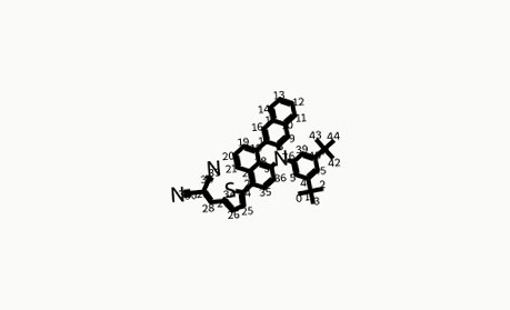 CC(C)(C)c1cc(N2c3cc4ccccc4cc3-c3cccc4c(-c5ccc(C=C(C#N)C#N)s5)ccc2c34)cc(C(C)(C)C)c1